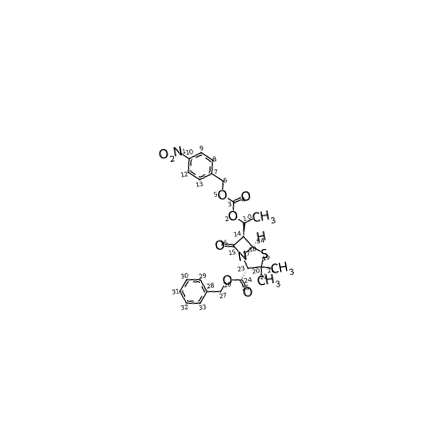 CC(OC(=O)OCc1ccc([N+](=O)[O-])cc1)[C@@H]1C(=O)N2[C@@H]1SC(C)(C)[C@@H]2C(=O)OCc1ccccc1